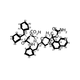 CN(C(=O)O)[C@H](C(=O)Nc1ccccc1CC[C@@H]1CN[C@H](C(C)(OC(N)=O)c2cccc3ccncc23)CO1)C(c1ccccc1)c1ccccc1